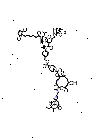 CCC(O)C(C)[C@H]1O[C@@H]1CC(C)(O)/C=C/C=C(\C)[C@H]1OC(=O)C[C@H](O)CC[C@@](C)(OC)[C@@H](OC(=O)N2CCN(C(=O)OCc3ccc(NC(=O)C(CCCNC(N)=O)NC(=O)C(NC(=O)CCCCCN4C(=O)C=CC4=O)C(C)C)cc3)CC2)/C=C/[C@@H]1C